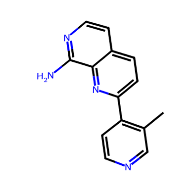 Cc1cnccc1-c1ccc2ccnc(N)c2n1